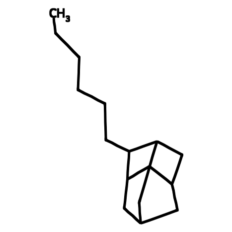 CCCCCCC1C2CC3CC(C2)CC1C3